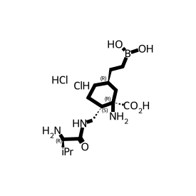 CC(C)[C@@H](N)C(=O)NC[C@@H]1CC[C@@H](CCB(O)O)C[C@]1(N)C(=O)O.Cl.Cl